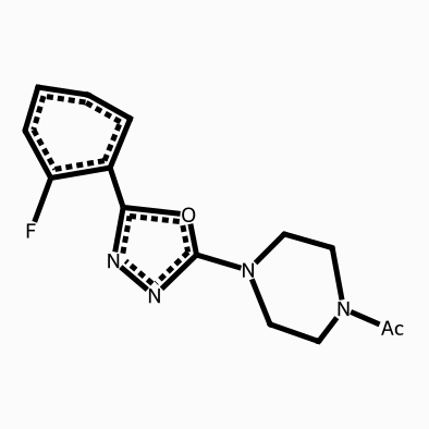 CC(=O)N1CCN(c2nnc(-c3ccccc3F)o2)CC1